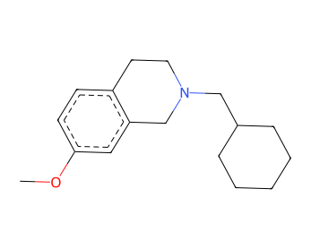 COc1ccc2c(c1)CN(CC1CCCCC1)CC2